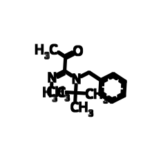 C/N=C(/C(C)=O)N(Cc1ccccc1)C(C)(C)C